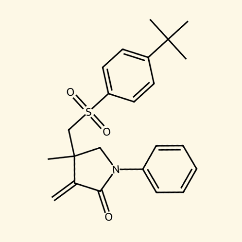 C=C1C(=O)N(c2ccccc2)CC1(C)CS(=O)(=O)c1ccc(C(C)(C)C)cc1